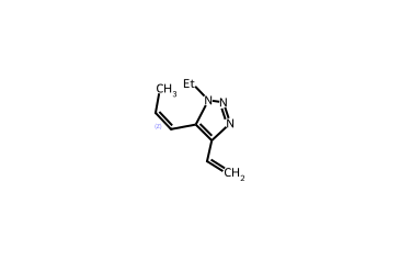 C=Cc1nnn(CC)c1/C=C\C